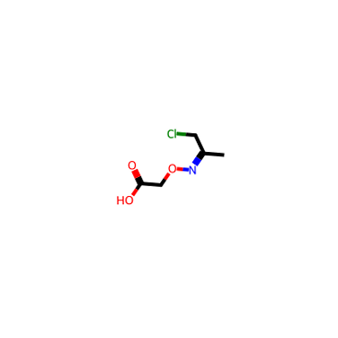 CC(CCl)=NOCC(=O)O